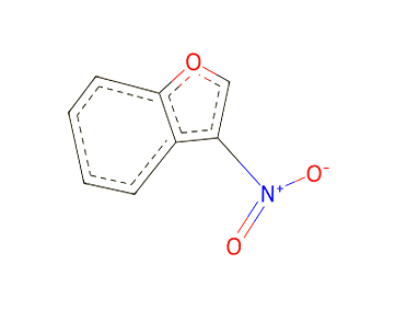 O=[N+]([O-])c1coc2ccccc12